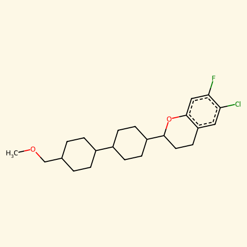 COCC1CCC(C2CCC(C3CCc4cc(Cl)c(F)cc4O3)CC2)CC1